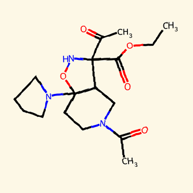 CCOC(=O)C1(C(C)=O)NOC2(N3CCCC3)CCN(C(C)=O)CC12